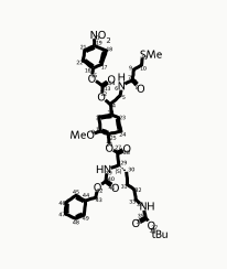 COc1cc(C(CNC(=O)CCSC)OC(=O)Oc2ccc([N+](=O)[O-])cc2)ccc1OC(=O)[C@H](CCCCNC(=O)OC(C)(C)C)NC(=O)OCc1ccccc1